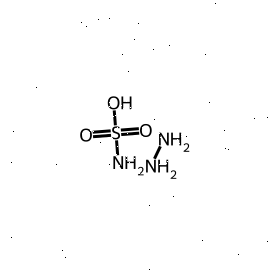 NN.NS(=O)(=O)O